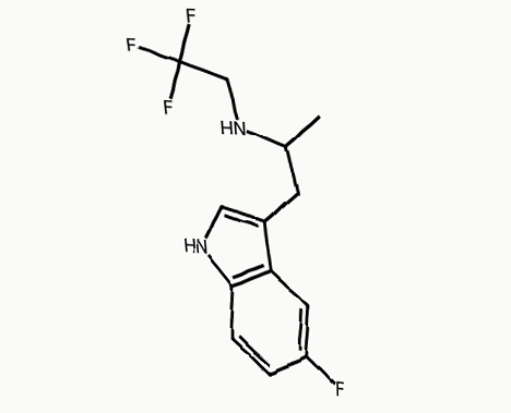 CC(Cc1c[nH]c2ccc(F)cc12)NCC(F)(F)F